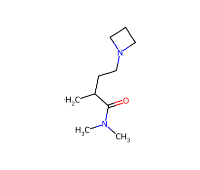 [CH2]C(CCN1CCC1)C(=O)N(C)C